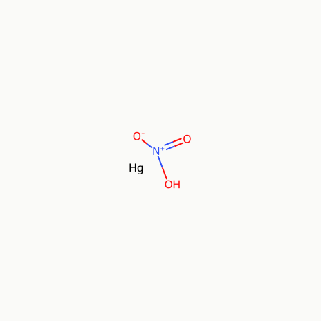 O=[N+]([O-])O.[Hg]